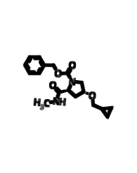 CNC(=O)[C@@H]1C[C@@H](OCC2CC2)CN1C(=O)OCc1ccccc1